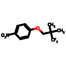 CC(C)(COc1ccc([N+](=O)[O-])cc1)C(F)(F)F